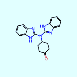 O=C1CCC(N(c2nc3ccccc3[nH]2)c2nc3ccccc3[nH]2)CC1